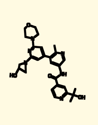 Cc1ncc(NC(=O)c2ccnc(C(C)(C)O)c2)cc1-c1cc(N2CCOCC2)nc(N2CC(O)C2)c1